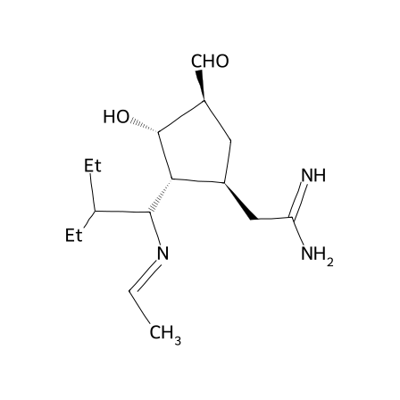 C/C=N/C(C(CC)CC)[C@H]1[C@H](CC(=N)N)C[C@H](C=O)[C@H]1O